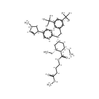 CC[C@@H]1C[C@H](N(Cc2cc(C(F)(F)F)cc(C(F)(F)F)c2)c2ncc(C3C=NN(C)C3)cn2)C[C@H](CC)N1C(=O)OCCCC(=O)OC